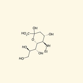 CCN[C@H]1[C@H]([C@H](O)[C@H](O)CO)OC(O)(C(=O)O)C[C@@H]1O